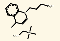 CC1C=CN(CCCS(=O)(=O)O)c2ccccc21.C[N+](C)(C)CC(=O)[O-]